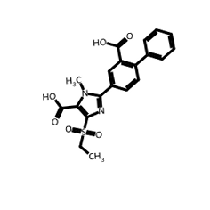 CCS(=O)(=O)c1nc(-c2ccc(-c3ccccc3)c(C(=O)O)c2)n(C)c1C(=O)O